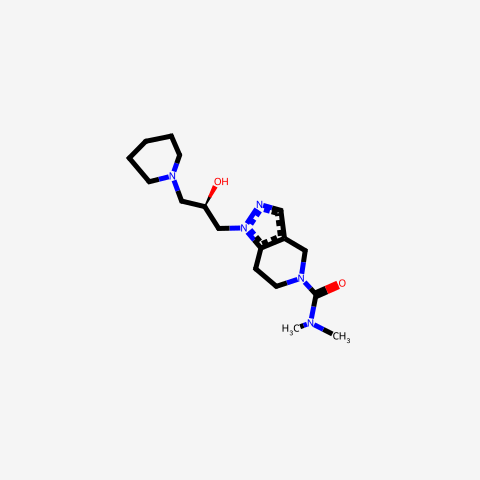 CN(C)C(=O)N1CCc2c(cnn2C[C@H](O)CN2CCCCC2)C1